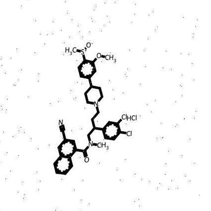 COc1cc(C2CCN(CCC(CN(C)C(=O)c3cc(C#N)cc4ccccc34)c3ccc(Cl)c(Cl)c3)CC2)ccc1[S+](C)[O-].Cl